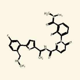 CNCc1ccc(F)cc1-c1ccc(C(C)NC(=O)c2ccc(=O)n(-c3cccc(C(=O)N(C)C)c3F)n2)s1